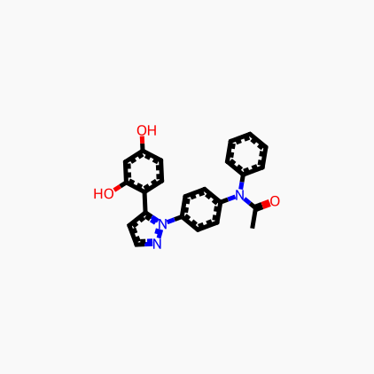 CC(=O)N(c1ccccc1)c1ccc(-n2nccc2-c2ccc(O)cc2O)cc1